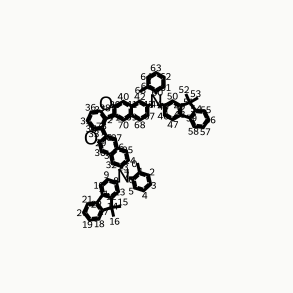 Cc1ccccc1N(c1ccc2c(c1)C(C)(C)c1ccccc1-2)c1ccc2cc3c(cc2c1)oc1ccc2oc4cc5cc(N(c6ccc7c(c6)C(C)(C)c6ccccc6-7)c6ccccc6C)ccc5cc4c2c13